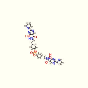 O=C(NCCc1ccc(O[PH](=O)Oc2ccc(CCNC(=O)c3cnc(-c4ccccn4)nc3O)cc2)cc1)c1cnc(-c2ccccn2)nc1O